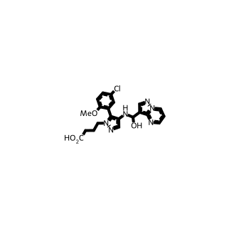 COc1ccc(Cl)cc1-c1c(NC(O)c2cnn3cccnc23)cnn1CCCC(=O)O